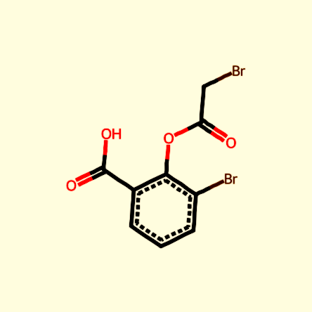 O=C(CBr)Oc1c(Br)cccc1C(=O)O